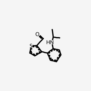 CC(C)Nc1ccccc1-c1ccsc1C=O